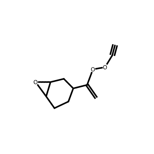 C#COOC(=C)C1CCC2OC2C1